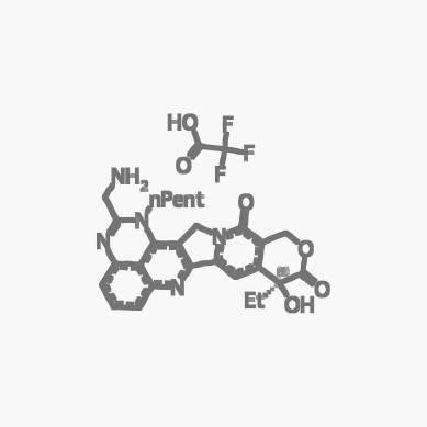 CCCCCN1C(CN)=Nc2cccc3nc4c(c1c23)Cn1c-4cc2c(c1=O)COC(=O)[C@]2(O)CC.O=C(O)C(F)(F)F